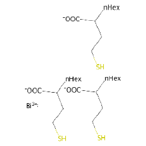 CCCCCCC(CCS)C(=O)[O-].CCCCCCC(CCS)C(=O)[O-].CCCCCCC(CCS)C(=O)[O-].[Bi+3]